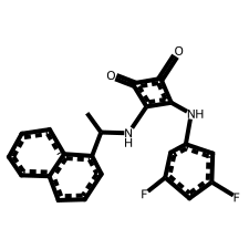 CC(Nc1c(Nc2cc(F)cc(F)c2)c(=O)c1=O)c1cccc2ccccc12